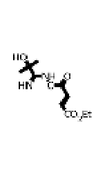 CCOC(=O)/C=C/C(=O)ONC(=N)C(C)(C)O